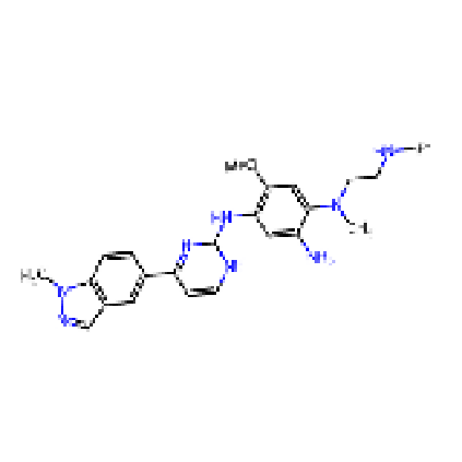 COc1cc(N(C)CCNC(C)C)c(N)cc1NC1N=C(c2ccc3c(cnn3C)c2)C=CN1